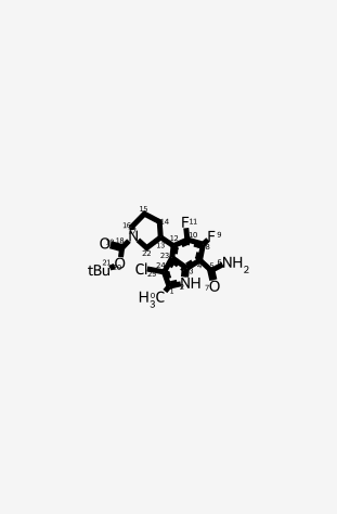 Cc1[nH]c2c(C(N)=O)c(F)c(F)c(C3CCCN(C(=O)OC(C)(C)C)C3)c2c1Cl